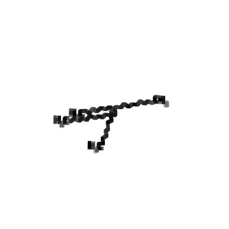 CCCCCCCCCCCC(CCCCCCCC)OC(CCCCCCCC)CCCCCCCCCCC